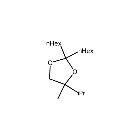 CCCCCCC1(CCCCCC)OCC(C)(C(C)C)O1